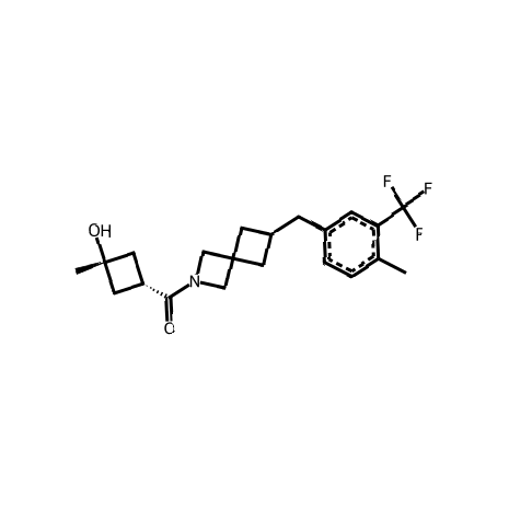 Cc1ccc(CC2CC3(C2)CN(C(=O)[C@H]2C[C@@](C)(O)C2)C3)cc1C(F)(F)F